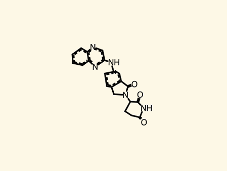 O=C1CCC(N2Cc3ccc(Nc4cnc5ccccc5n4)cc3C2=O)C(=O)N1